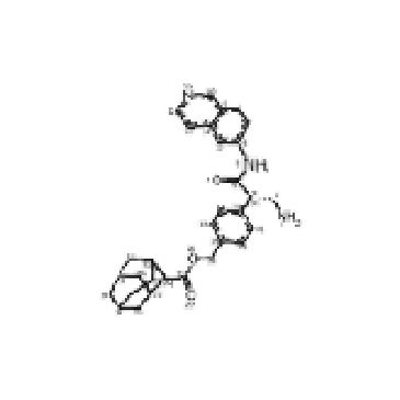 NC[C@@H](C(=O)Nc1ccc2cnccc2c1)c1ccc(COC(=O)C2C3CC4CC(C3)CC2C4)cc1